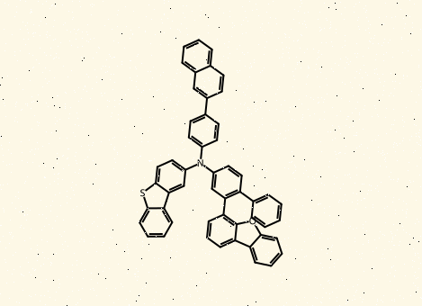 c1ccc(-c2ccc(N(c3ccc(-c4ccc5ccccc5c4)cc3)c3ccc4sc5ccccc5c4c3)cc2-c2cccc3c2oc2ccccc23)cc1